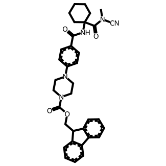 CN(C#N)C(=O)C1(NC(=O)c2ccc(N3CCN(C(=O)OCC4c5ccccc5-c5ccccc54)CC3)cc2)CCCCC1